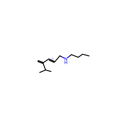 C=C(/C=C/CNCCCC)C(C)C